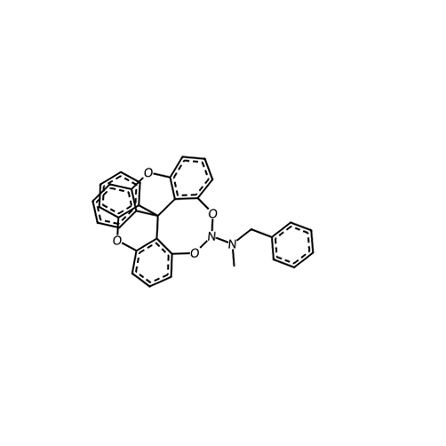 CN(Cc1ccccc1)N1Oc2cccc3c2C2(c4ccccc4O3)c3ccccc3Oc3cccc(c32)O1